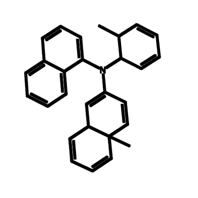 CC1C=CC=CC1N(C1=CC2C=CC=CC2(C)C=C1)c1cccc2ccccc12